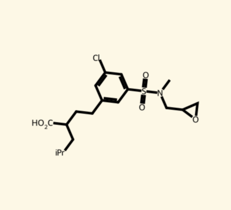 CC(C)CC(CCc1cc(Cl)cc(S(=O)(=O)N(C)CC2CO2)c1)C(=O)O